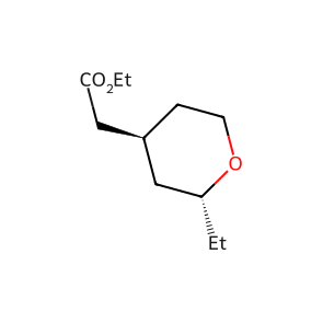 CCOC(=O)C[C@H]1CCO[C@H](CC)C1